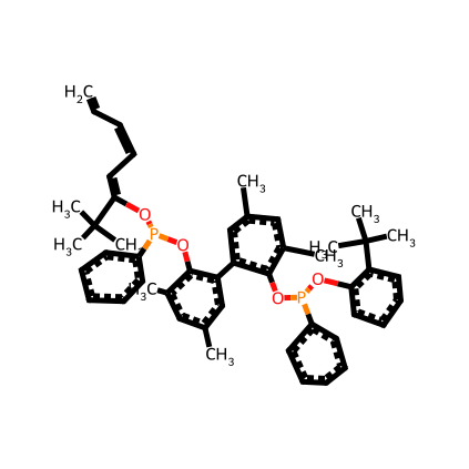 C=C/C=C\C=C(/OP(Oc1c(C)cc(C)cc1-c1cc(C)cc(C)c1OP(Oc1ccccc1C(C)(C)C)c1ccccc1)c1ccccc1)C(C)(C)C